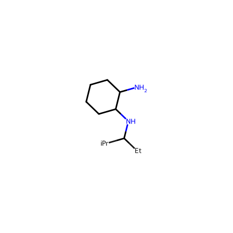 CCC(NC1CCCCC1N)C(C)C